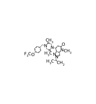 C=C(C)n1cc2c(n1)c(N1C[C@@H](C)N(Cc3ccc(OC(F)(F)F)cc3)C[C@@H]1C)cc(=O)n2C